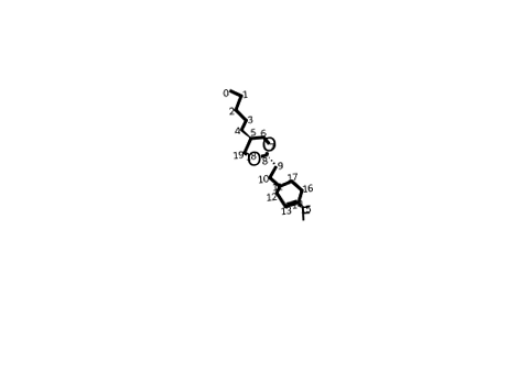 CCCCC[C@H]1CO[C@H](CCC2CC=C(F)CC2)OC1